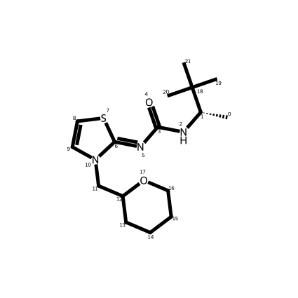 C[C@H](NC(=O)N=c1sccn1CC1CCCCO1)C(C)(C)C